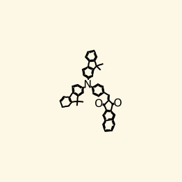 CC1(C)C2=C(C=CCC2)c2ccc(N(c3ccc(C=C4C(=O)c5cc6ccccc6cc5C4=O)cc3)c3ccc4c(c3)C(C)(C)c3ccccc3-4)cc21